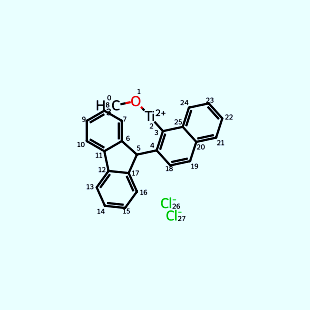 C[O][Ti+2][c]1c(C2c3ccccc3-c3ccccc32)ccc2ccccc12.[Cl-].[Cl-]